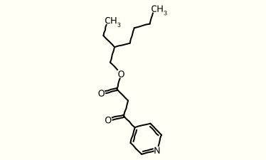 CCCCC(CC)COC(=O)CC(=O)c1ccncc1